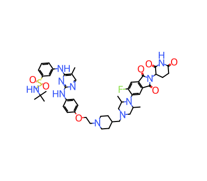 Cc1cnc(Nc2ccc(OCCN3CCC(CN4CC(C)N(c5cc6c(cc5F)C(=O)N(C5CCC(=O)NC5=O)C6=O)C(C)C4)CC3)cc2)nc1Nc1cccc(S(=O)(=O)NC(C)(C)C)c1